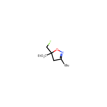 CCOC(=O)C1(CF)CC(C(C)(C)C)=NO1